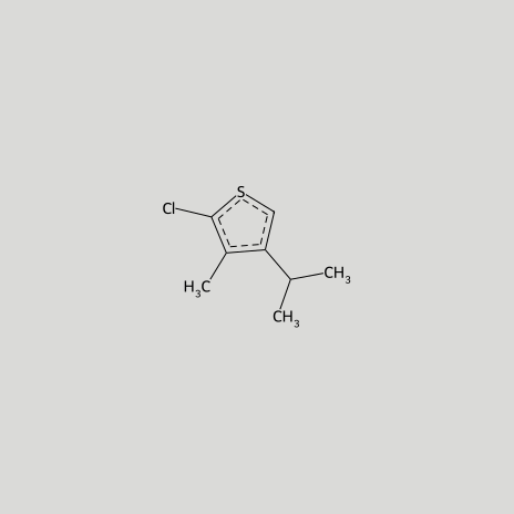 Cc1c(C(C)C)csc1Cl